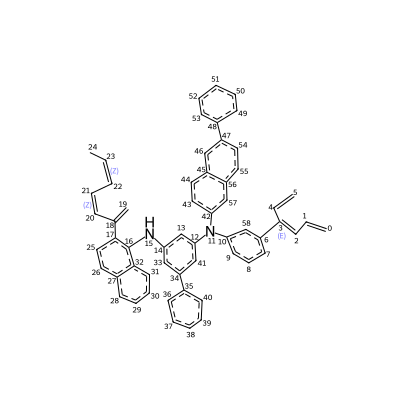 C=C/C=C(\C=C)c1cccc(N(c2cc(Nc3c(C(=C)/C=C\C=C/C)ccc4ccccc34)cc(-c3ccccc3)c2)c2ccc3cc(-c4ccccc4)ccc3c2)c1